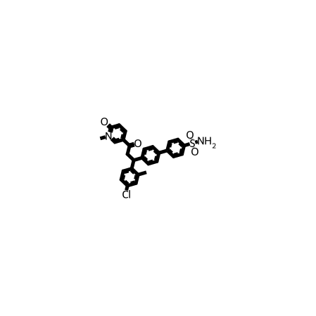 Cc1cc(Cl)ccc1C(CC(=O)c1ccc(=O)n(C)c1)c1ccc(-c2ccc(S(N)(=O)=O)cc2)cc1